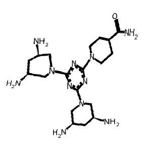 NC(=O)C1CCN(c2nc(N3C[C@H](N)C[C@H](N)C3)nc(N3C[C@H](N)C[C@H](N)C3)n2)CC1